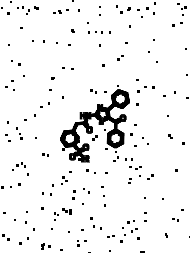 CCS(=O)(=O)c1cccc(CC(=O)Nc2nc(-c3ccccc3)c(C(=O)c3ccccc3)s2)c1